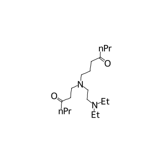 CCCC(=O)CCCN(CCC(=O)CCC)CCN(CC)CC